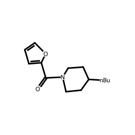 CCCCC1CCN(C(=O)c2ccco2)CC1